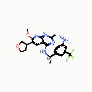 COc1nc2nc(C)nc(N[C@H](C)c3cc(N)cc(C(F)(F)F)c3)c2cc1C1CCOC1